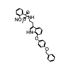 O=[N+]([O-])c1ccccc1S(=O)(=O)NCCc1c[nH]c2c(Oc3ccc(OCc4ccccc4)cc3)cccc12